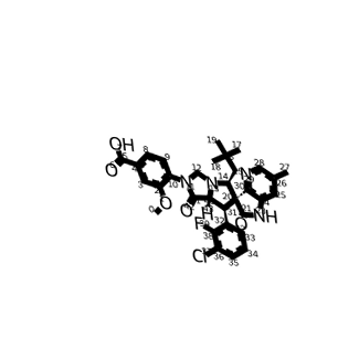 COc1cc(C(=O)O)ccc1N1CN2[C@@H](CC(C)(C)C)[C@@]3(C(=O)Nc4cc(C)cnc43)[C@@H](c3cccc(Cl)c3F)[C@@H]2C1=O